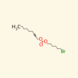 CCCCCCC#CCOC(=O)OCCCCCCBr